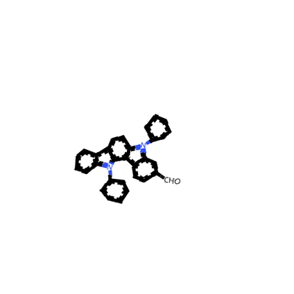 O=Cc1ccc2c3c(ccc4c5ccccc5n(-c5ccccc5)c43)n(-c3ccccc3)c2c1